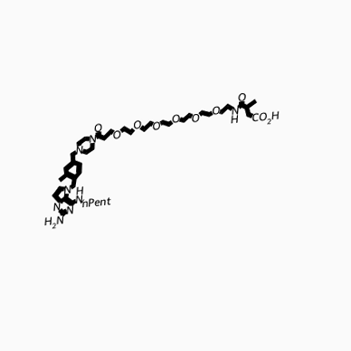 CCCCCNc1nc(N)nc2ccn(Cc3ccc(CN4CCN(C(=O)CCOCCOCCOCCOCCOCCOCCNC(=O)C(C)CC(=O)O)CC4)cc3C)c12